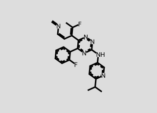 C=N/C=C\C(=C(/C)F)c1nnc(Nc2ccc(C(C)C)nc2)nc1-c1ccccc1F